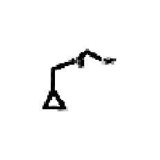 CCC[CH2][Hg][CH2]C1CC1